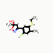 Cc1cc(F)c(C2=NOC(O)(C(F)(F)F)C2)cc1SCC(F)(F)F